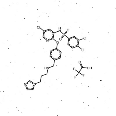 O=C(O)C(F)(F)F.O=S(=O)(Nc1cc(Cl)cnc1Oc1ccc(CNCCCn2ccnc2)cc1)c1ccc(Cl)c(Cl)c1